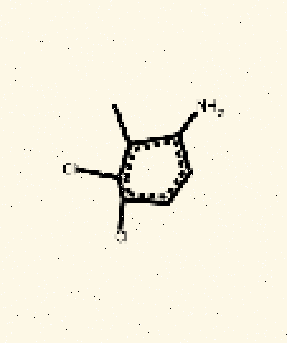 Cc1c(N)ccc(Cl)c1Cl